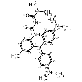 Cc1ccc(NC(=S)NC(=O)C(C)C)c(C(c2ccc(N(C)C)cc2)c2ccc(N(C)C)cc2)c1